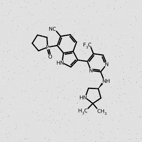 CC1(C)C[C@H](Nc2ncc(C(F)(F)F)c(-c3c[nH]c4c(P5(=O)CCCC5)c(C#N)ccc34)n2)CN1